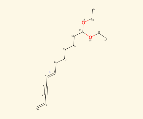 C=CC#C/C=C/CCCCCC(OCC)OCC